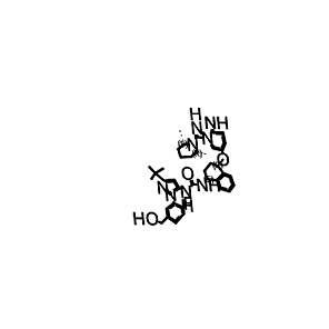 C[C@@H]1CCC[C@H](C)N1C(=N)n1cc(O[C@@H]2CC[C@H](NC(=O)Nc3cc(C(C)(C)C)nn3-c3cc(CO)ccc3F)c3ccccc32)ccc1=N